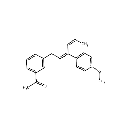 C/C=C\C(=C/Cc1cccc(C(C)=O)c1)c1ccc(OC)cc1